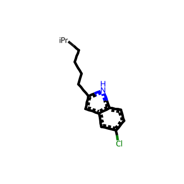 CC(C)CCCCc1cc2cc(Cl)ccc2[nH]1